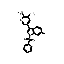 Nc1cc(-c2cn(S(=O)(=O)c3ccccc3)c3cc(F)ccc23)cnc1N